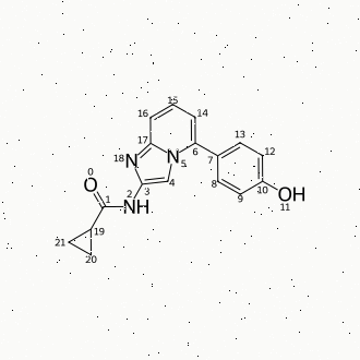 O=C(Nc1cn2c(-c3ccc(O)cc3)cccc2n1)C1CC1